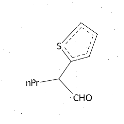 CCCC(C=O)c1cccs1